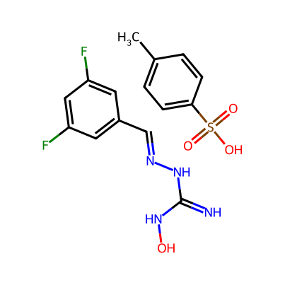 Cc1ccc(S(=O)(=O)O)cc1.N=C(NO)NN=Cc1cc(F)cc(F)c1